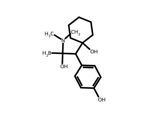 BC(O)(C(c1ccc(O)cc1)C1(O)CCCCC1)N(C)C